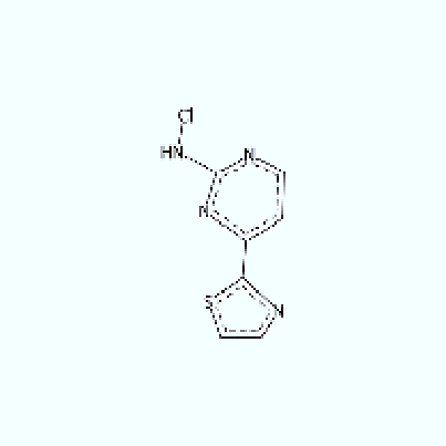 ClNc1nccc(-c2nccs2)n1